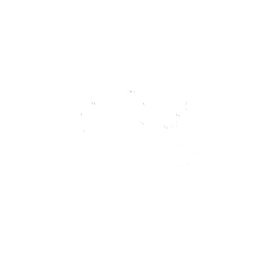 Nc1nc(-c2nc(Cc3c(F)ccc(F)c3Cl)n3ncccc23)ncc1-c1ccnc(C(F)(F)F)c1